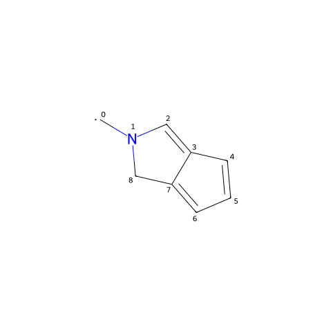 [CH2]N1C=C2C=CC=C2C1